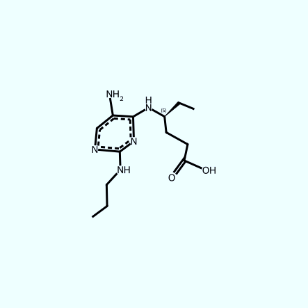 CCCNc1ncc(N)c(N[C@@H](CC)CCC(=O)O)n1